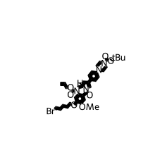 C=CCOC(=O)N1C[C@@H]2CC(c3ccc(N4CCN(C(=O)OC(C)(C)C)CC4)cc3)=CN2C(=O)c2cc(OC)c(OCCCCCBr)cc21